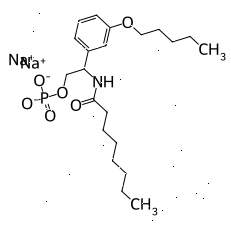 CCCCCCCC(=O)NC(COP(=O)([O-])[O-])c1cccc(OCCCCC)c1.[Na+].[Na+]